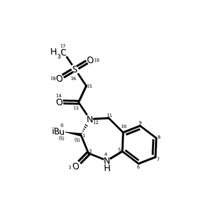 CC[C@H](C)[C@H]1C(=O)Nc2ccccc2CN1C(=O)CS(C)(=O)=O